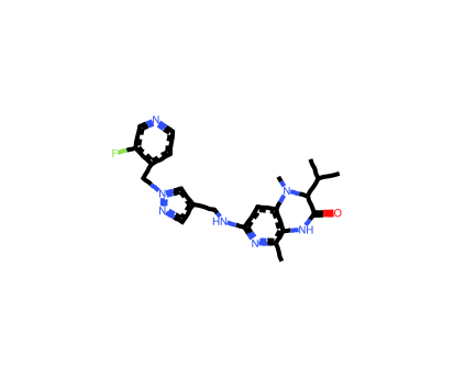 Cc1nc(NCc2cnn(Cc3ccncc3F)c2)cc2c1NC(=O)C(C(C)C)N2C